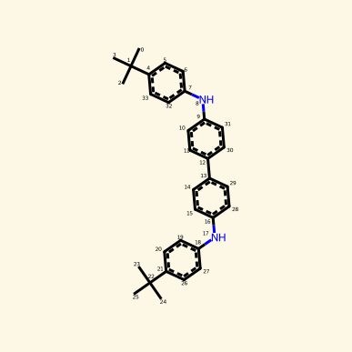 CC(C)(C)c1ccc(Nc2ccc(-c3ccc(Nc4ccc(C(C)(C)C)cc4)cc3)cc2)cc1